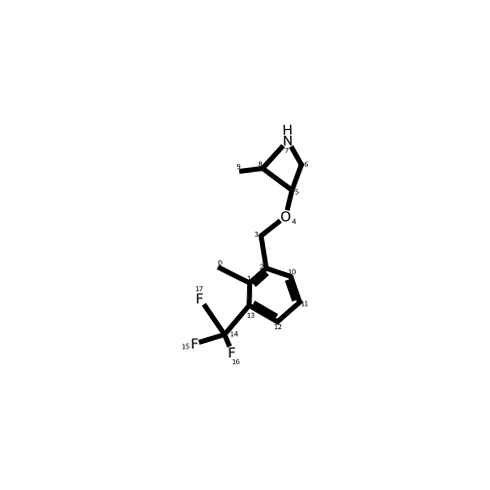 Cc1c(COC2CNC2C)cccc1C(F)(F)F